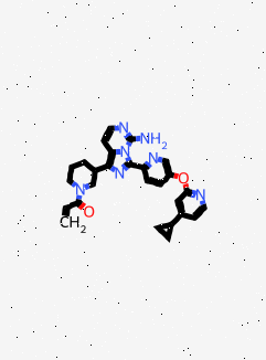 C=CC(=O)N1CCCC(c2nc(-c3ccc(Oc4cc(C5CC5)ccn4)cn3)n3c(N)nccc23)C1